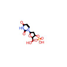 O=c1ccn(C2CC(OP(=O)(O)O)C(CO)O2)c(=O)[nH]1